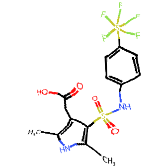 Cc1[nH]c(C)c(S(=O)(=O)Nc2ccc(S(F)(F)(F)(F)F)cc2)c1C(=O)O